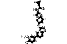 Cn1cc(-c2ccc3nnc(Sc4ccc5nc(NC(=O)C6CC6)cn5n4)n3c2)ccc1=O